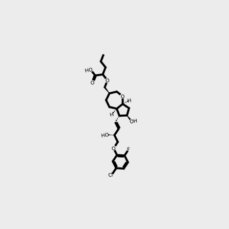 CCCC(OC[C@@H]1CC[C@@H]2[C@@H](C=C[C@@H](O)COc3cc(Cl)ccc3F)[C@H](O)C[C@@H]2OC1)C(=O)O